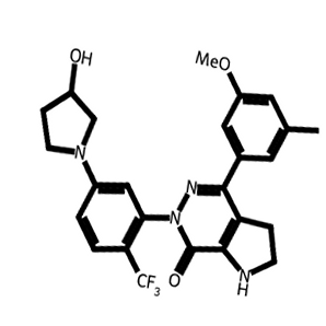 COc1cc(C)cc(-c2nn(-c3cc(N4CCC(O)C4)ccc3C(F)(F)F)c(=O)c3c2CCN3)c1